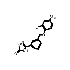 O=c1[nH]c(-c2cccc(COc3ccc(C(F)(F)F)cc3Cl)c2)ns1